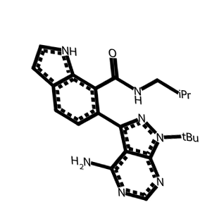 CC(C)CNC(=O)c1c(-c2nn(C(C)(C)C)c3ncnc(N)c23)ccc2cc[nH]c12